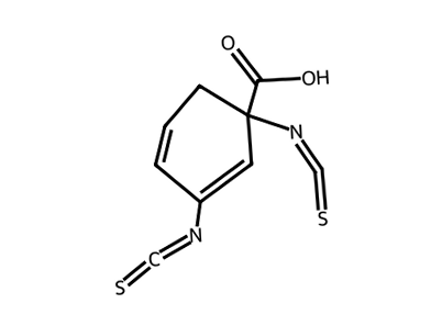 O=C(O)C1(N=C=S)C=C(N=C=S)C=CC1